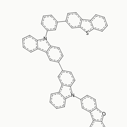 c1cc(-c2ccc3c(c2)sc2ccccc23)cc(-n2c3ccccc3c3cc(-c4ccc5c(c4)c4ccccc4n5-c4ccc5oc6ccccc6c5c4)ccc32)c1